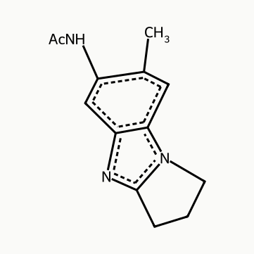 CC(=O)Nc1cc2nc3n(c2cc1C)CCC3